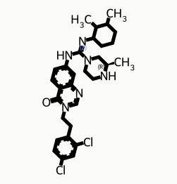 CC1CCCC(/N=C(/Nc2ccc3c(=O)n(CCc4ccc(Cl)cc4Cl)cnc3c2)N2CCN[C@H](C)C2)C1C